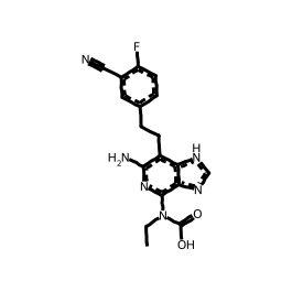 CCN(C(=O)O)c1nc(N)c(CCc2ccc(F)c(C#N)c2)c2[nH]cnc12